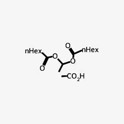 CC(=O)O.CCCCCCC(=O)OC(C)OC(=O)CCCCCC